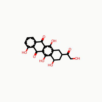 O=C1c2cccc(O)c2C(=O)c2c(O)c3c(c(O)c21)CC(C(=O)CO)CC3O